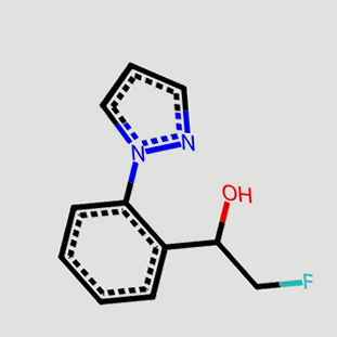 OC(CF)c1ccccc1-n1cccn1